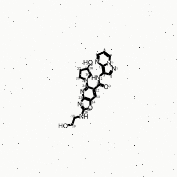 O=C(Nc1cnn2cccnc12)c1cc2oc(NCCO)nc2nc1N1CC[C@@H](O)C1